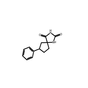 O=C1NC(=O)C2(CCC(c3ccccc3)C2)N1